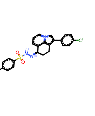 Cc1ccc(S(=O)(=O)N/N=C2/CCc3c(-c4ccc(Cl)cc4)cn4cccc2c34)cc1